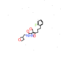 O=Cc1c(C(=O)NCC2CCOC2)noc1CCCc1ccccc1F